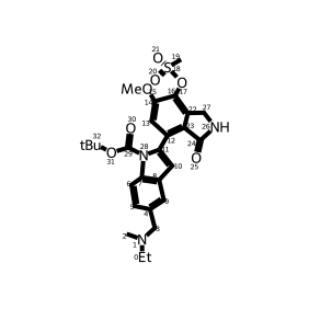 CCN(C)Cc1ccc2c(c1)cc(-c1cc(OC)c(OS(C)(=O)=O)c3c1C(=O)NC3)n2C(=O)OC(C)(C)C